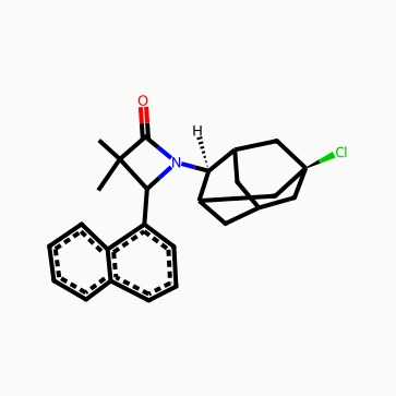 CC1(C)C(=O)N([C@H]2C3CC4CC2C[C@@](Cl)(C4)C3)C1c1cccc2ccccc12